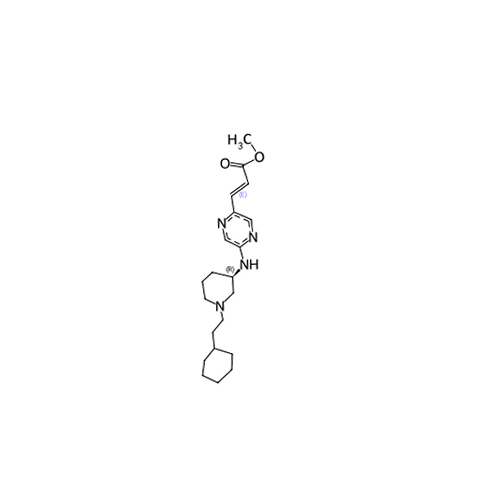 COC(=O)/C=C/c1cnc(N[C@@H]2CCCN(CCC3CCCCC3)C2)cn1